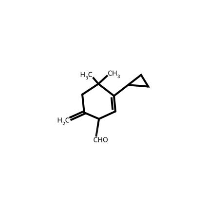 C=C1CC(C)(C)C(C2CC2)=CC1C=O